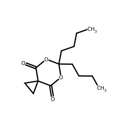 CCCCC1(CCCC)OC(=O)C2(CC2)C(=O)O1